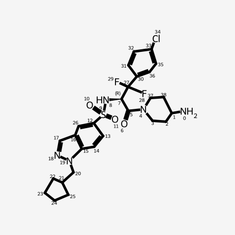 NC1CCN(C(=O)[C@@H](NS(=O)(=O)c2ccc3c(cnn3CC3CCCC3)c2)C(F)(F)c2ccc(Cl)cc2)CC1